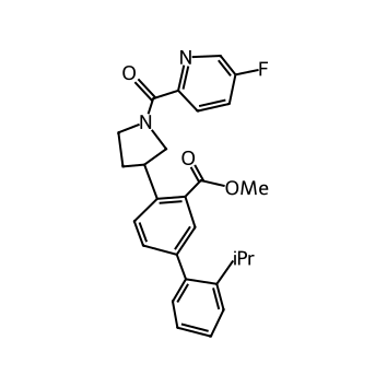 COC(=O)c1cc(-c2ccccc2C(C)C)ccc1C1CCN(C(=O)c2ccc(F)cn2)C1